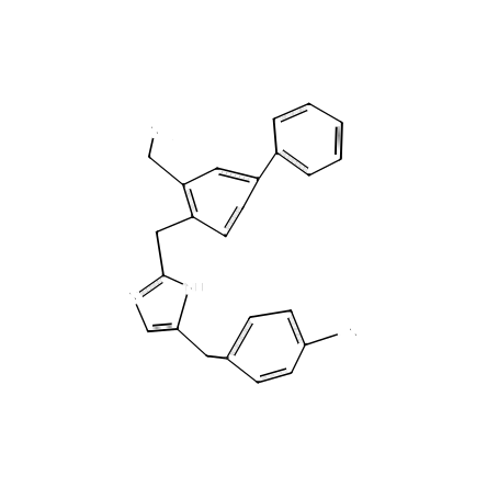 N#Cc1ccc(Cc2cnc(Cc3ccc(-c4ccccc4)cc3CN)[nH]2)cc1